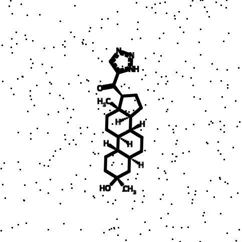 C[C@@]1(O)CC[C@H]2[C@@H](CC[C@@H]3[C@@H]2CC[C@]2(C)[C@@H](C(=O)c4cnn[nH]4)CC[C@@H]32)C1